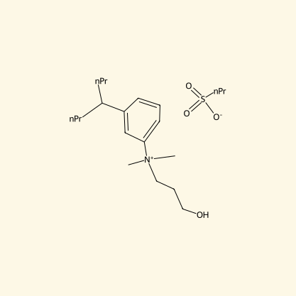 CCCC(CCC)c1cccc([N+](C)(C)CCCO)c1.CCCS(=O)(=O)[O-]